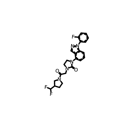 O=C(CN1CCN(c2cccc3c2cnn3-c2ccccc2F)C1=O)N1CCC(C(F)F)C1